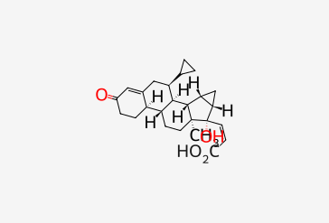 C[C@]12CC[C@H]3[C@H]([C@@H]1[C@@H]1C[C@@H]1[C@@]2(O)/C=C\C(=O)O)[C@H](C1CC1)CC1=CC(=O)CC[C@@H]13